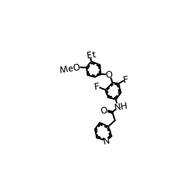 CCc1cc(Oc2c(F)cc(NC(=O)Cc3cccnc3)cc2F)ccc1OC